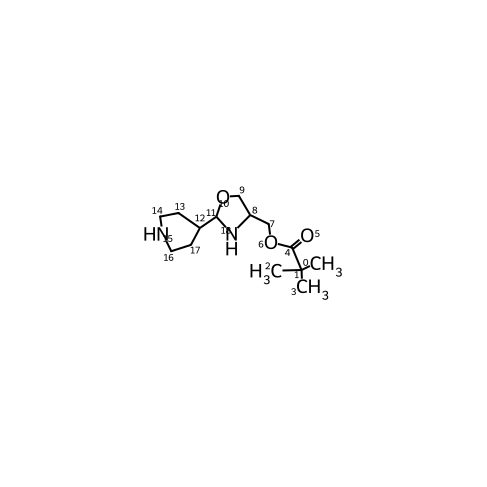 CC(C)(C)C(=O)OCC1COC(C2CCNCC2)N1